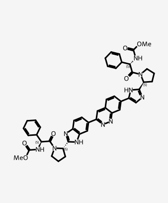 COC(=O)N[C@H](C(=O)N1CCC[C@H]1c1ncc(-c2ccc3cc(-c4ccc5nc([C@@H]6CCCN6C(=O)[C@@H](NC(=O)OC)C6C=CCC=C6)[nH]c5c4)nnc3c2)[nH]1)C1C=CCC=C1